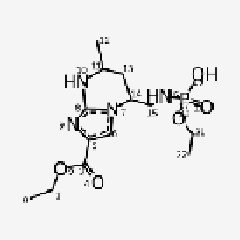 CCOC(=O)c1cn2c(n1)NC(C)CC2CNP(=O)(O)OCC